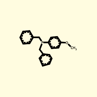 COc1ccc(P(Cc2ccccc2)Cc2ccccc2)cc1